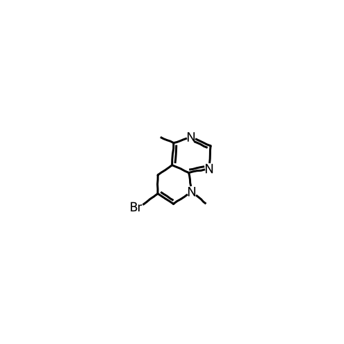 Cc1ncnc2c1CC(Br)=CN2C